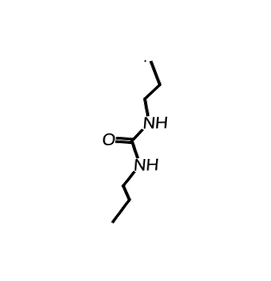 [CH2]CCNC(=O)NCCC